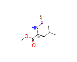 COC(=O)[C@H](CC(C)C)NP=S